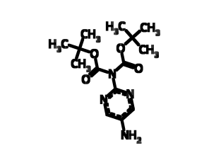 CC(C)(C)OC(=O)N(C(=O)OC(C)(C)C)c1ncc(N)cn1